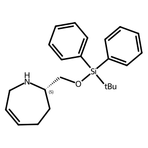 CC(C)(C)[Si](OC[C@@H]1CCC=CCN1)(c1ccccc1)c1ccccc1